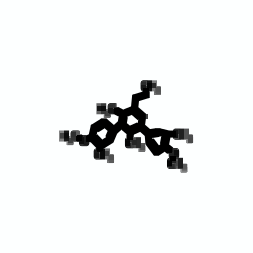 CCCc1[c]c(-c2ccc(OC)c(C)c2)c(C)c(-c2ccc(OC)c(C)c2)c1C